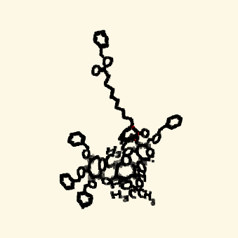 C[C@@H]1O[C@@H](O[C@@H]2[CH]O[C@H](COCc3ccccc3)[C@H](NC(=O)CCCCCCCCCCC(=O)OCc3ccccc3)[C@@H]2OCc2ccccc2)[C@@H]2OC(C)(C)O[C@@H]2[C@H]1O[C@@H]1OC[C@@H](OCc2ccccc2)[C@H](OCc2ccccc2)[C@H]1OCc1ccccc1